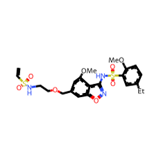 C=CS(=O)(=O)NCCOCc1cc(OC)c2c(NS(=O)(=O)c3cc(CC)ccc3OC)noc2c1